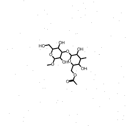 COC1OC(CO)C(O)C(OC2OC(COC(C)=O)C(O)C(C)C2O)C1O